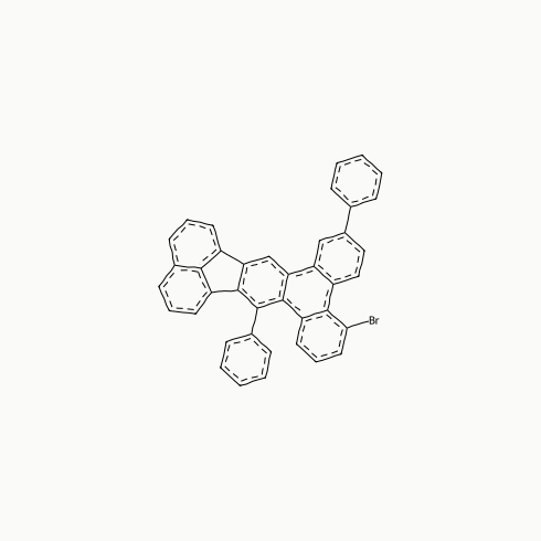 Brc1cccc2c1c1ccc(-c3ccccc3)cc1c1cc3c(c(-c4ccccc4)c12)-c1cccc2cccc-3c12